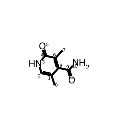 Cc1c[nH]c(=O)c(C)c1C(N)=O